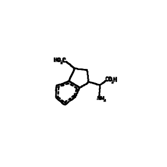 NC(C(=O)O)C1CC(C(=O)O)c2ccccc21